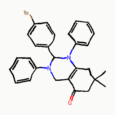 CC1(C)CC(=O)C2=C(C1)N(c1ccccc1)C(c1ccc(Br)cc1)N(c1ccccc1)C2